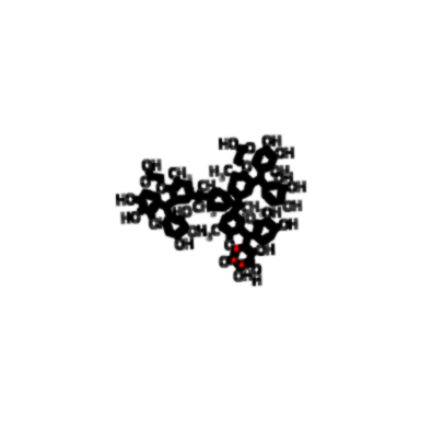 Cc1cc(C(C)(C)c2ccc(C(C)(c3cc(C)c(OCC(=O)O)c(C(c4ccc(O)c(O)c4O)c4ccc(O)c(O)c4O)c3)c3cc(C)c(OCC(=O)O)c(C(c4ccc(O)c(O)c4O)c4ccc(O)c(O)c4O)c3)cc2)cc(C(c2ccc(O)c(O)c2O)c2ccc(O)c(O)c2O)c1OCC(=O)O